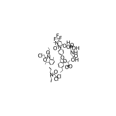 C=CCN(CC=C)C(=O)C(Cl)Cl.CCOCN(C(=O)CCl)c1c(C)cccc1CC.CCc1ccc(COc2ccc(-n3c(=O)cc(C(F)(F)F)n(C)c3=O)cc2)c(OC(C)C(=O)OC)c1.O=C(O)CNCP(=O)(O)O